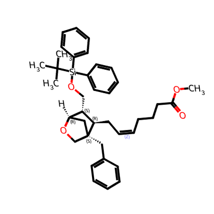 COC(=O)CCC/C=C\C[C@@H]1[C@@H](CO[Si](c2ccccc2)(c2ccccc2)C(C)(C)C)[C@H]2C[C@]1(Cc1ccccc1)CO2